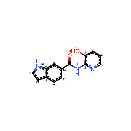 O=C(Nc1ncccc1O)c1ccc2cc[nH]c2c1